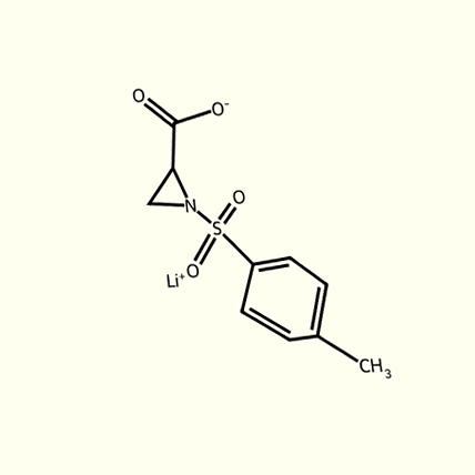 Cc1ccc(S(=O)(=O)N2CC2C(=O)[O-])cc1.[Li+]